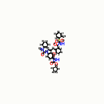 COc1cccc(C(=O)NS(=O)(=O)c2ccccc2C)c1Cc1cn(C(=O)N(C)c2ccccc2)c2ccc(NC(=O)OC3CCCC3)cc12